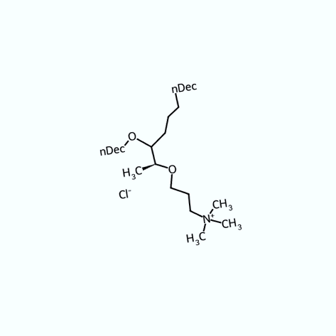 CCCCCCCCCCCCCC(OCCCCCCCCCC)[C@H](C)OCCC[N+](C)(C)C.[Cl-]